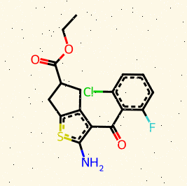 CCOC(=O)C1Cc2sc(N)c(C(=O)c3c(F)cccc3Cl)c2C1